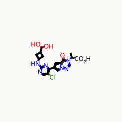 CC(C(=O)O)n1cnn2cc(-c3nc(NC4CC(C(O)O)C4)ncc3Cl)cc2c1=O